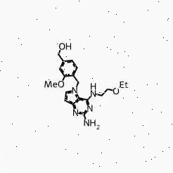 CCOCCNc1nc(N)nc2ccn(Cc3ccc(CO)cc3OC)c12